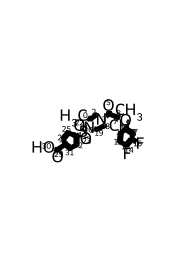 CC1CN(C(=O)C(C)(C)Oc2ccc(F)c(F)c2)CCN1S(=O)(=O)c1ccc(C(=O)O)cc1